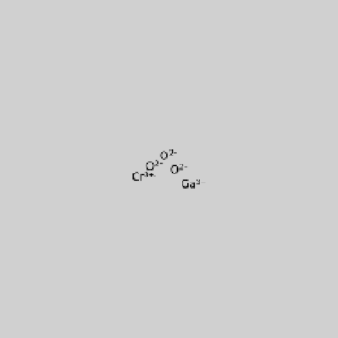 [Cr+3].[Ga+3].[O-2].[O-2].[O-2]